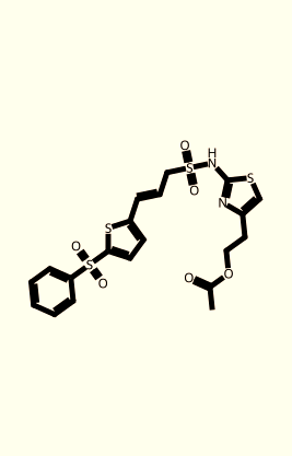 CC(=O)OCCc1csc(NS(=O)(=O)CC=Cc2ccc(S(=O)(=O)c3ccccc3)s2)n1